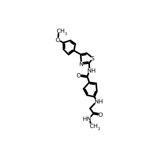 CNC(=O)CNc1ccc(C(=O)Nc2nc(-c3ccc(OC)cc3)cs2)cc1